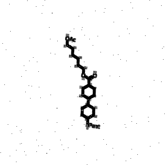 CCCCCC1CCC(C2CCC(C(=O)OCCCCCCOC(C)=O)CC2)CC1